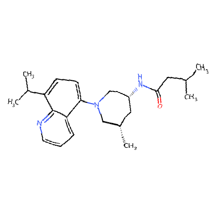 CC(C)CC(=O)N[C@@H]1C[C@H](C)CN(c2ccc(C(C)C)c3ncccc23)C1